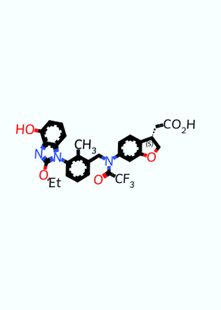 CCOc1nc2c(O)cccc2n1-c1cccc(CN(C(=O)C(F)(F)F)c2ccc3c(c2)OC[C@H]3CC(=O)O)c1C